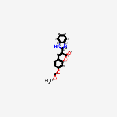 COCOc1ccc2cc(-c3nc4ccccc4[nH]3)c(=O)oc2c1